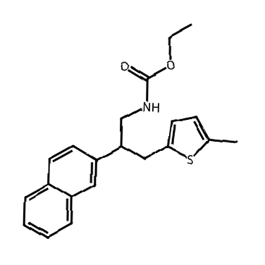 CCOC(=O)NCC(Cc1ccc(C)s1)c1ccc2ccccc2c1